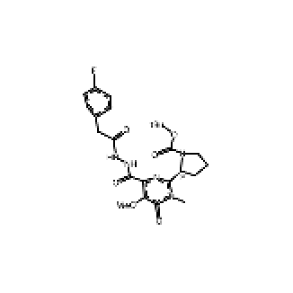 COc1c(C(=O)NNC(=O)Cc2ccc(F)cc2)nc([C@@H]2CCCN2C(=O)OC(C)(C)C)n(C)c1=O